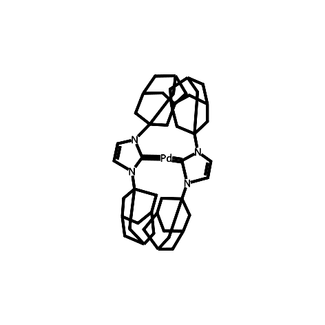 c1cn(C23CC4CC(CC(C4)C2)C3)[c](=[Pd]=[c]2n(C34CC5CC(CC(C5)C3)C4)ccn2C23CC4CC(CC(C4)C2)C3)n1C12CC3CC(CC(C3)C1)C2